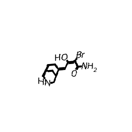 NC(=O)/C(Br)=C(O)\C=C1/CCC2CNCC1C2